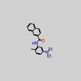 CCN(CC)c1ccc(C)c(NC(=O)c2ccc3ccccc3c2)c1